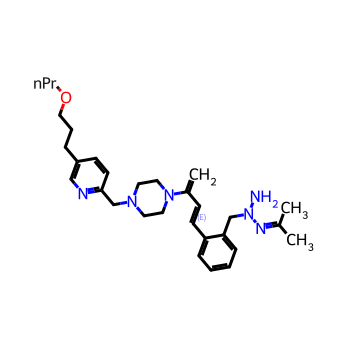 C=C(/C=C/c1ccccc1CN(N)N=C(C)C)N1CCN(Cc2ccc(CCCOCCC)cn2)CC1